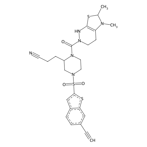 C#Cc1ccc2cc(S(=O)(=O)N3CCN(C(=O)N4CCC5=C(N4)SC(C)N5C)C(CCC#N)C3)sc2c1